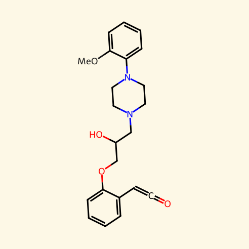 COc1ccccc1N1CCN(CC(O)COc2ccccc2C=C=O)CC1